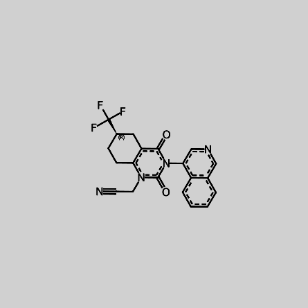 N#CCn1c2c(c(=O)n(-c3cncc4ccccc34)c1=O)C[C@H](C(F)(F)F)CC2